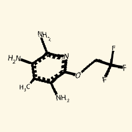 Cc1c(N)c(N)nc(OCC(F)(F)F)c1N